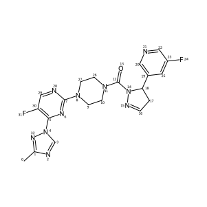 Cc1ncn(-c2nc(N3CCN(C(=O)N4N=CCC4c4cncc(F)c4)CC3)ncc2F)n1